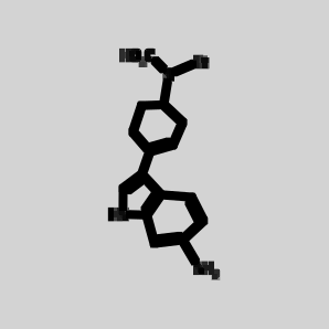 CCN(C(=O)O)C1CC=C(c2c[nH]c3cc(N)ccc23)CC1